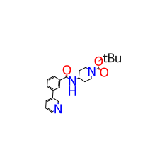 CC(C)(C)OC(=O)N1CCC(NC(=O)c2cccc(-c3cccnc3)c2)CC1